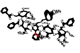 CCCCOC1C(OCCCC)[C@H](O[C@H]2OC(COC(=O)c3ccccc3)[C@@H](OCCCC)C(OCCCC)C2N=[N+]=[N-])C(C(=O)OC)O[C@H]1O[C@@H]1C(COCc2ccc(OC)cc2)O[C@@H](O[C@@H](CC=O)C(OCCCC)C(OC(=O)c2ccccc2)[C@@H](OC)O[C@@H]2C(COC(=O)c3ccccc3)O[C@H](OC)C(N=[N+]=[N-])C2OCCCC)C(N=[N+]=[N-])C1OC(=O)c1ccccc1